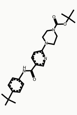 CC(C)(C)OC(=O)N1CCN(c2ccc(C(=O)Nc3ccc(C(C)(C)C)cc3)cn2)CC1